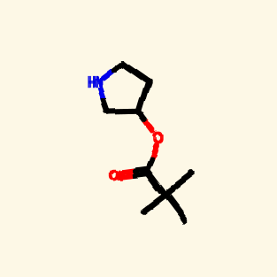 CC(C)(C)C(=O)OC1C[CH]NC1